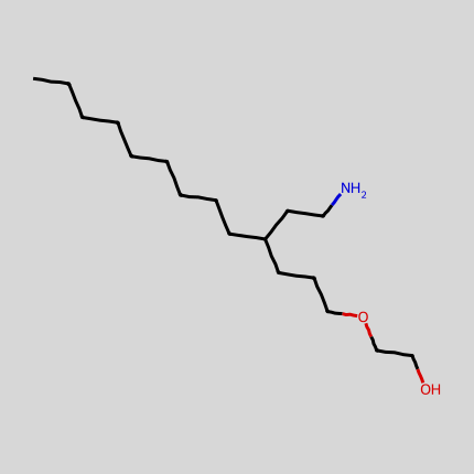 CCCCCCCCCC(CCN)CCCOCCO